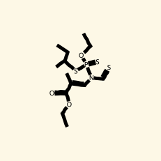 CCOC(=O)C(C)=CN(C=S)P(=S)(OCC)SC(C)CC